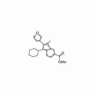 COC(=O)c1ccc2c(C3CCCCC3)c(-c3ccoc3)n(C)c2c1